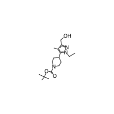 CCn1nc(CO)c(C)c1C1CCN(C(=O)OC(C)(C)C)CC1